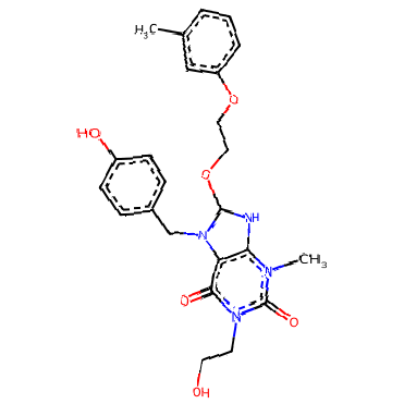 Cc1cccc(OCCOC2Nc3c(c(=O)n(CCO)c(=O)n3C)N2Cc2ccc(O)cc2)c1